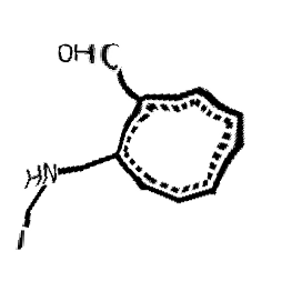 O=Cc1ccccc1NI